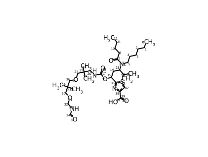 CCCCCCN(C(=O)CCCC)C(CC(OC(=O)NCC(C)(C)COCC(C)(C)COCNC=O)c1nc(C(=O)O)cs1)C(C)C